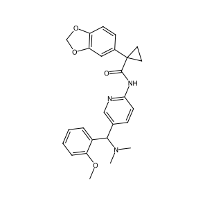 COc1ccccc1C(c1ccc(NC(=O)C2(c3ccc4c(c3)OCO4)CC2)nc1)N(C)C